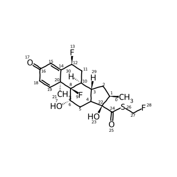 C[C@@H]1C[C@@H]2C(C[C@H](O)[C@@]3(F)[C@H]2C[C@H](F)C2=CC(=O)C=C[C@@]23C)[C@@]1(O)C(=O)SCF